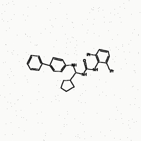 CC(C)c1cccc(C(C)C)c1NC(=O)NC(Nc1ccc(-c2ccccc2)cc1)C1CCCC1